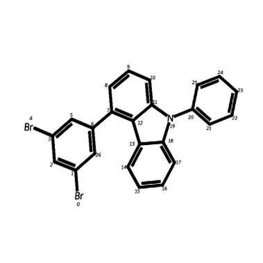 Brc1cc(Br)cc(-c2cccc3c2c2ccccc2n3-c2ccccc2)c1